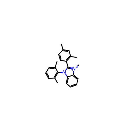 Cc1ccc(-c2n(-c3c(C)cccc3C)c3ccccc3[n+]2C)c(C)c1